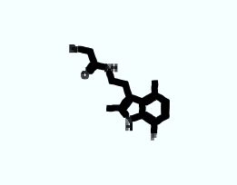 Cc1[nH]c2c(F)ccc(C)c2c1CCNC(=O)CBr